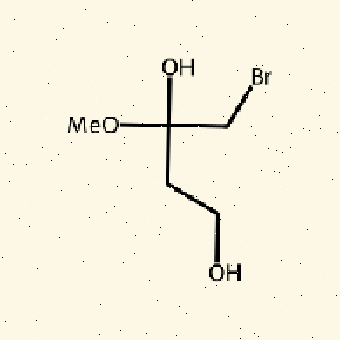 COC(O)(CBr)CCO